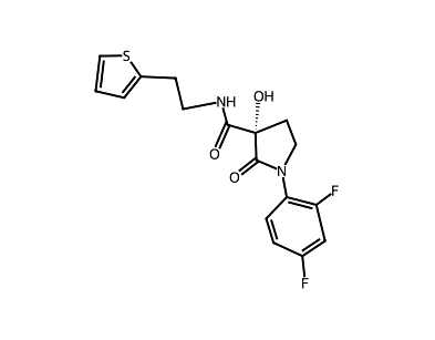 O=C(NCCc1cccs1)[C@@]1(O)CCN(c2ccc(F)cc2F)C1=O